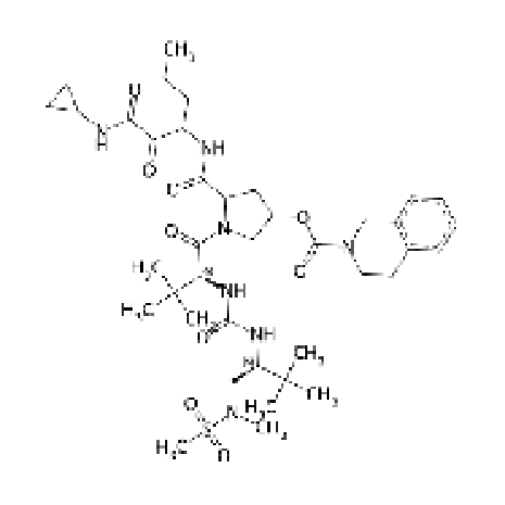 CCCC(NC(=O)C1CC(OC(=O)N2CCc3ccccc3C2)CN1C(=O)[C@@H](NC(=O)N[C@H](CN(C)S(C)(=O)=O)C(C)(C)C)C(C)(C)C)C(=O)C(=O)NC1CC1